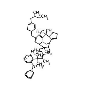 CCC(/C=C\C1C2CC3C(=CC(CC4C=CC(CC(C)CC)=CC4)=CC3C1(C)C)C(C)(C)C1CCC=C21)=C(/C)C(C)(C)c1ccccc1N(C)c1ccccc1